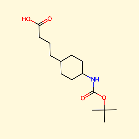 CC(C)(C)OC(=O)NC1CCC(CCCC(=O)O)CC1